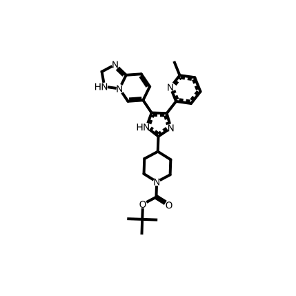 Cc1cccc(-c2nc(C3CCN(C(=O)OC(C)(C)C)CC3)[nH]c2C2=CN3NCN=C3C=C2)n1